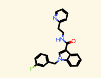 O=C(NCCc1ccccn1)c1cn(Cc2cccc(F)c2)c2ccccc12